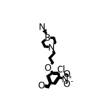 N#CB1CCN(CCCOc2cc(C=O)cc([N+](=O)[O-])c2Cl)CC1